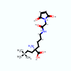 C[Si](C)(C)CC[C@@](N)(CCCCNC(=O)CN1C(=O)C=CC1=O)C(=O)O